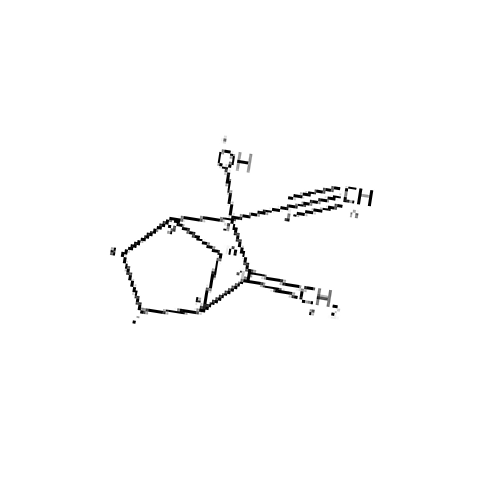 C#CC1(O)C(=C)C2CCC1C2